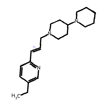 CCc1ccc(/C=C/CN2CCC(N3CCCCC3)CC2)nc1